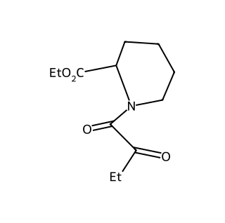 CCOC(=O)C1CCCCN1C(=O)C(=O)CC